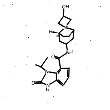 CC(C)n1c(=O)[nH]c2cccc(C(=O)NC3CC4CC[C@H](C3)[N+]43CC(O)C3)c21